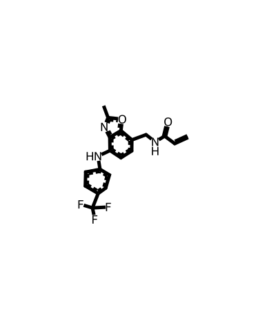 C=CC(=O)NCc1ccc(Nc2ccc(C(F)(F)F)cc2)c2nc(C)oc12